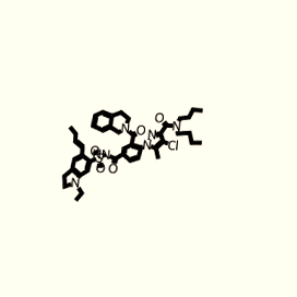 CCC=Cc1cc2c(cc1S(=O)(=O)NC(=O)c1ccc(-n3nc(C(=O)N(CCCC)CCCC)c(Cl)c3C)c(C(=O)N3CCc4ccccc4C3)c1)N(CC)CC2